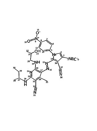 [C-]#[N+]c1cn(-c2ccc([N+](=O)[O-])cc2)c(N=Nc2c(NCC(C)O)nc(NC(C)CC)c(C#N)c2C)c1C#N